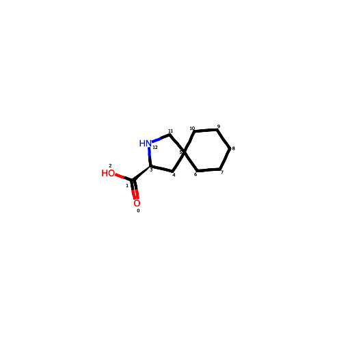 O=C(O)[C@@H]1CC2(CCCCC2)CN1